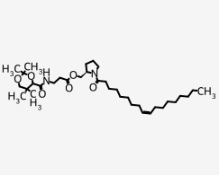 CCCCCCCC/C=C\CCCCCCCC(=O)N1CCC[C@@H]1COC(=O)CCNC(=O)C1OC(C)(C)OCC1(C)C